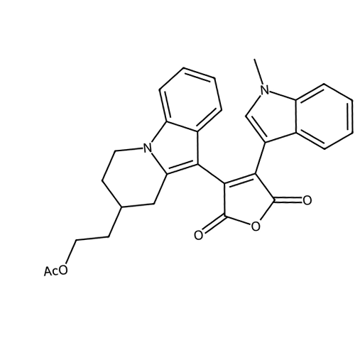 CC(=O)OCCC1CCn2c(c(C3=C(c4cn(C)c5ccccc45)C(=O)OC3=O)c3ccccc32)C1